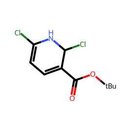 CC(C)(C)OC(=O)C1=CC=C(Cl)NC1Cl